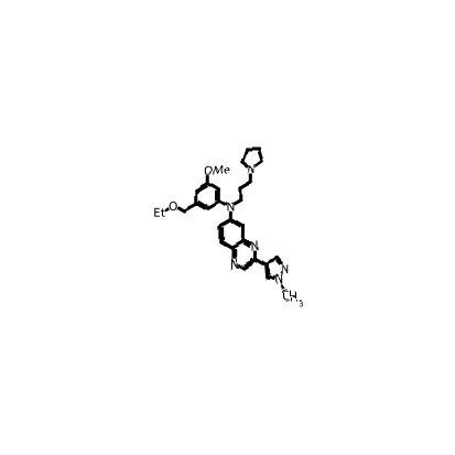 CCOCc1cc(OC)cc(N(CCCN2CCCC2)c2ccc3ncc(-c4cnn(C)c4)nc3c2)c1